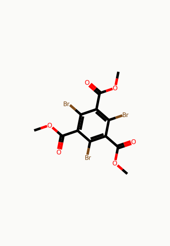 COC(=O)c1c(Br)c(C(=O)OC)c(Br)c(C(=O)OC)c1Br